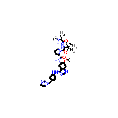 CN[C@@H](C)C(=O)N[C@H](C(=O)N1CCC[C@H]1C(=O)Nc1cc2c(Nc3ccc(Cn4ccnc4)cc3)ncnc2cc1OC)C(C)(C)C